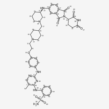 Cc1cnc(Nc2ccc(OCCN3CCC(CN4CCC[C@@H](Nc5ccc6c(c5)C(=O)N(C5CCC(=O)NC5=O)C6=O)C4)CC3)cc2)nc1Nc1ccccc1S(N)(=O)=O